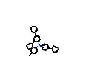 Cc1ccc(N(c2ccc(-c3ccccc3)cc2)c2ccc(-c3ccccc3)cc2-c2ccccc2)cc1